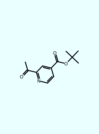 CC(=O)c1cc(C(=O)OC(C)(C)C)ccn1